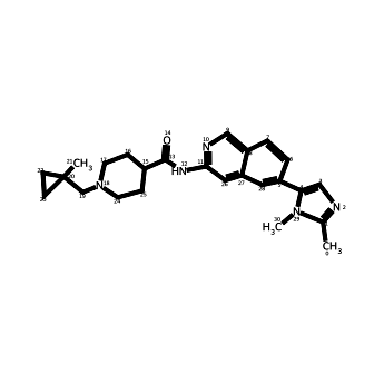 Cc1ncc(-c2ccc3cnc(NC(=O)C4CCN(CC5(C)CC5)CC4)cc3c2)n1C